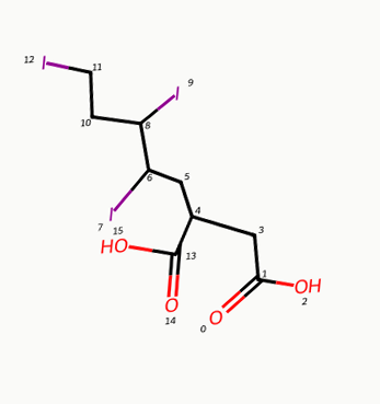 O=C(O)CC(CC(I)C(I)CCI)C(=O)O